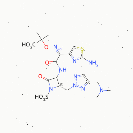 CN(C)Cc1cnn(C[C@H]2C(NC(=O)/C(=N\OC(C)(C)C(=O)O)c3csc(N)n3)C(=O)N2S(=O)(=O)O)n1